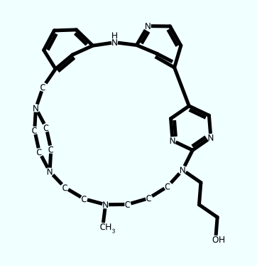 CN1CCCN(CCCO)c2ncc(cn2)-c2ccnc(c2)Nc2cccc(c2)CN2CCN(CC1)CC2